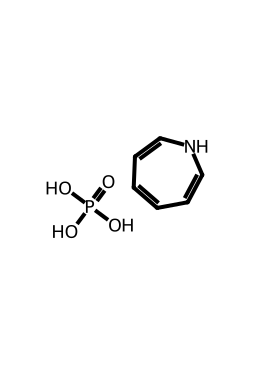 C1=CC=CNC=C1.O=P(O)(O)O